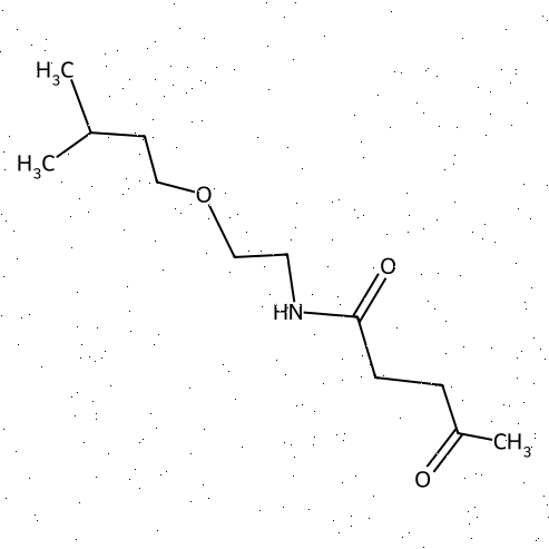 CC(=O)CCC(=O)NCCOCCC(C)C